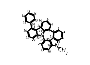 Cn1c2cccc3c4cccc5c6c(-c7ccccc7)cccc6n(c6cccc1c6c32)c45